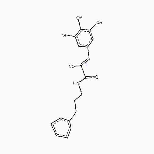 N#C/C(=C\c1cc(O)c(O)c(Br)c1)C(=O)NCCCc1ccccc1